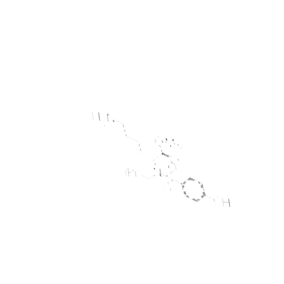 COC(=O)[C@@H](CCCCN)N(CC(C)C)S(=O)(=O)c1ccc(C)cc1